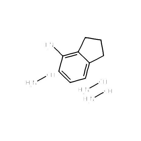 CN.CN.CN.Nc1cccc2c1CCC2